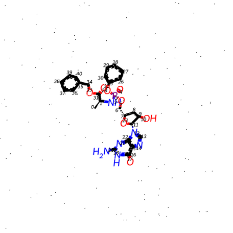 C[C@H](NP(=O)(OC[C@@H]1CC(O)[C@H](n2cnc3c(=O)[nH]c(N)nc32)O1)Oc1ccccc1)C(=O)OCc1ccccc1